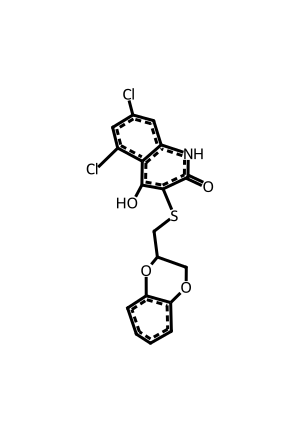 O=c1[nH]c2cc(Cl)cc(Cl)c2c(O)c1SCC1COc2ccccc2O1